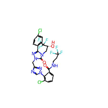 O=C(NCCC(F)(F)F)c1cccc(Cl)c1-n1cnc(Cn2nc(-c3ccc(Cl)cc3)n(C[C@@H](O)C(F)(F)F)c2=O)n1